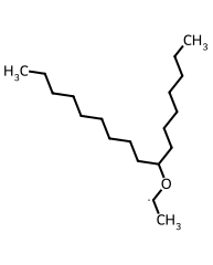 C[CH]OC(CCCCCCC)CCCCCCCCC